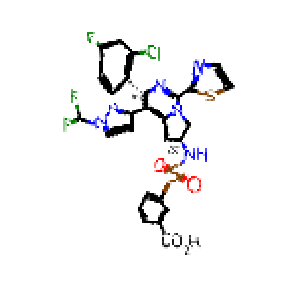 O=C(O)c1cccc(S(=O)(=O)N[C@H]2CC3=C(c4ccn(C(F)F)n4)[C@H](c4ccc(F)cc4Cl)N=C(c4nccs4)N3C2)c1